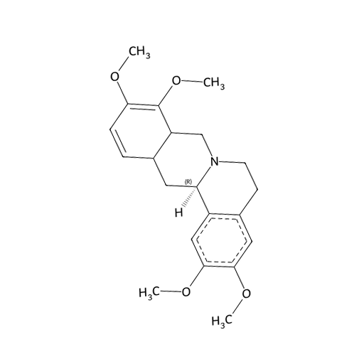 COC1=C(OC)C2CN3CCc4cc(OC)c(OC)cc4[C@H]3CC2C=C1